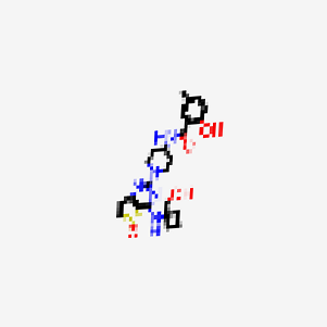 Cc1ccc(O)c(C(=O)NC2CCN(c3nc4c(c(NC5(CO)CCC5)n3)[S+]([O-])CC4)CC2)c1